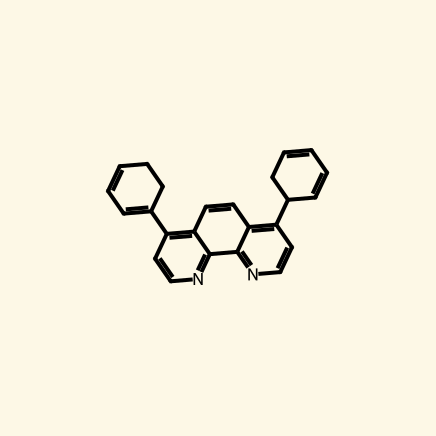 C1=CCCC(c2ccnc3c2ccc2c(C4C=CC=CC4)ccnc23)=C1